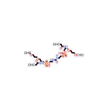 O=CCC(=O)N[C@H](COCCCOC=O)COP(=O)(O)OCCNC(=O)NCCOP(=O)(O)OC[C@@H](COCCCOC=O)NC(=O)CC=O